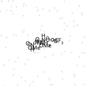 C=C(/C=C(\N=C(/N)OC)C(=O)N1CCC(N[C@H]2CCOC[C@H]2OC)CC1)NC[C@H]1CCC[C@@H](c2ccc(OC(F)(F)F)cc2)O1